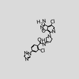 Nc1noc2c(N3CC[C@@H](NC(=O)c4ccc(-n5cncn5)cc4Cl)C3)ncc(Cl)c12